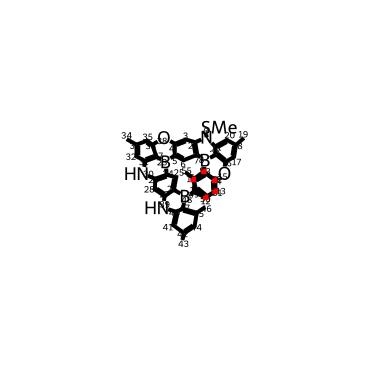 CSN1c2cc3c(cc2B2c4ccccc4Oc4cc(C)cc1c42)B1c2cc4c(cc2Nc2cc(C)cc(c21)O3)Nc1cc(C)cc(C)c1B4c1ccccc1C